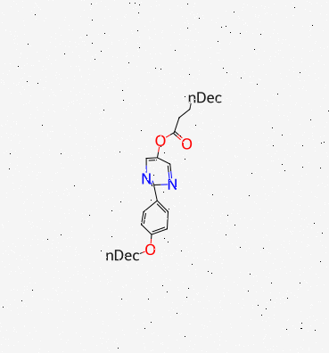 CCCCCCCCCCCCC(=O)Oc1cnc(-c2ccc(OCCCCCCCCCC)cc2)nc1